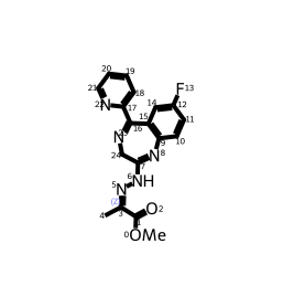 COC(=O)/C(C)=N\NC1=Nc2ccc(F)cc2C(c2ccccn2)=NC1